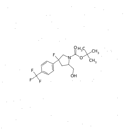 CC(C)(C)OC(=O)N1CC(F)(c2ccc(C(F)(F)F)cc2)CC1CO